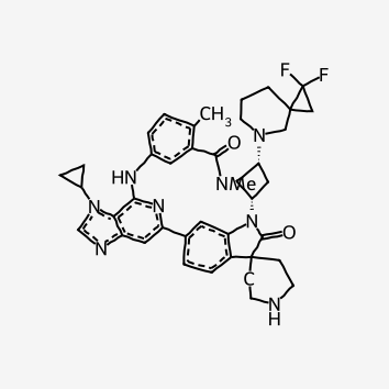 CNC(=O)c1cc(Nc2nc(-c3ccc4c(c3)N([C@H]3C[C@@H](N5CCCC6(C5)CC6(F)F)C3)C(=O)C43CCNCC3)cc3ncn(C4CC4)c23)ccc1C